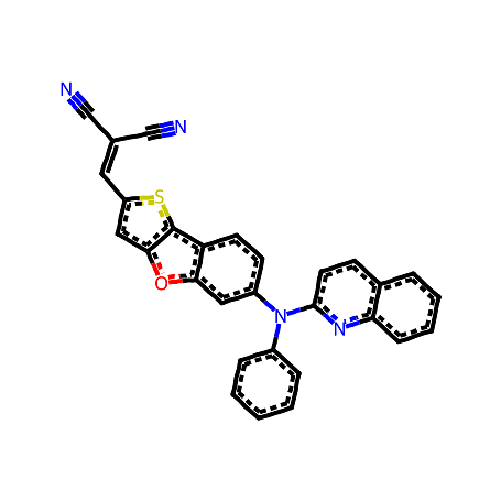 N#CC(C#N)=Cc1cc2oc3cc(N(c4ccccc4)c4ccc5ccccc5n4)ccc3c2s1